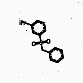 CC(C)c1cccc(S(=O)(=O)Cc2ccccc2)c1